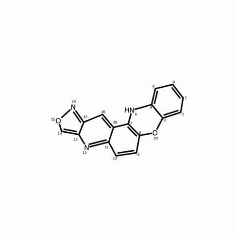 c1ccc2c(c1)Nc1c(ccc3nc4conc4cc13)O2